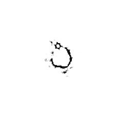 COC1/C=C\C=C(/C)C(=O)NC2=CC(=O)C(NC(C)=O)=C(CC(C)CC(OC)C(O)[C@@H](C)/C=C(\C)C1OC(N)=O)C2=O